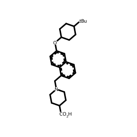 CC(C)(C)C1CCC(Oc2ccc3c(CN4CCC(C(=O)O)CC4)cccc3c2)CC1